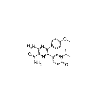 COc1ccc(-c2nc(N)c(C(N)=O)nc2-c2ccc(=O)n(C(C)C)c2)cc1